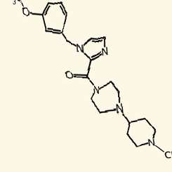 COc1cccc(Cn2ccnc2C(=O)N2CCN(C3CCN(C)CC3)CC2)c1